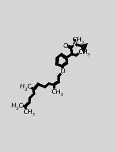 CCC(C(=O)N(C)C1CC1)c1cccc(OCC=C(C)CCC=C(C)CCC=C(C)C)c1